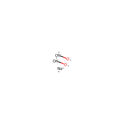 O=N[O-].O=[NH+][O-].[Na+]